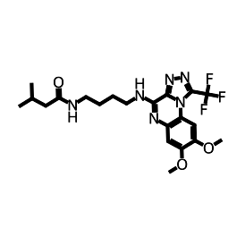 COc1cc2nc(NCCCCNC(=O)CC(C)C)c3nnc(C(F)(F)F)n3c2cc1OC